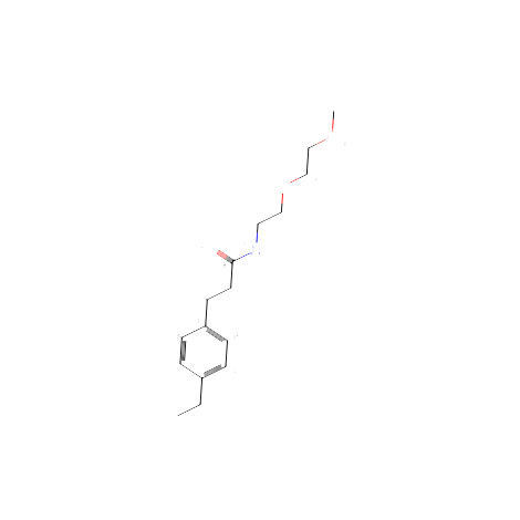 CCc1ccc(CCC(=O)NCCOCCOC)cc1